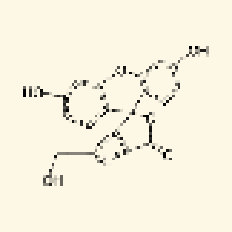 O=C1OC2(c3ccc(O)cc3Oc3cc(O)ccc32)c2cc(CO)ccc21